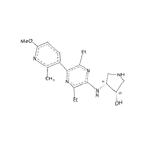 CCc1nc(-c2ccc(OC)nc2C)c(CC)nc1N[C@@H]1CNC[C@@H]1O